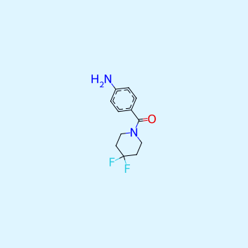 Nc1ccc(C(=O)N2CCC(F)(F)CC2)cc1